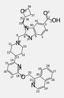 O=C(O)c1ccc2nc(CN3CCC(c4cccc(OCc5nccc6ccccc56)n4)CC3)n(C[C@@H]3CCO3)c2c1